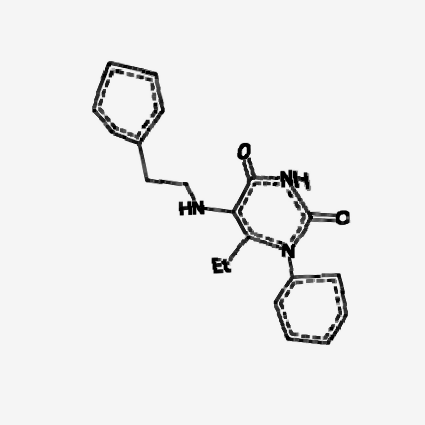 CCc1c(NCCc2ccccc2)c(=O)[nH]c(=O)n1-c1ccccc1